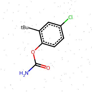 CC(C)(C)c1cc(Cl)ccc1OC(N)=O